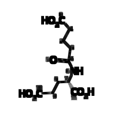 O=C(O)CCCC(=O)N[C@@H](CCC(=O)O)C(=O)O